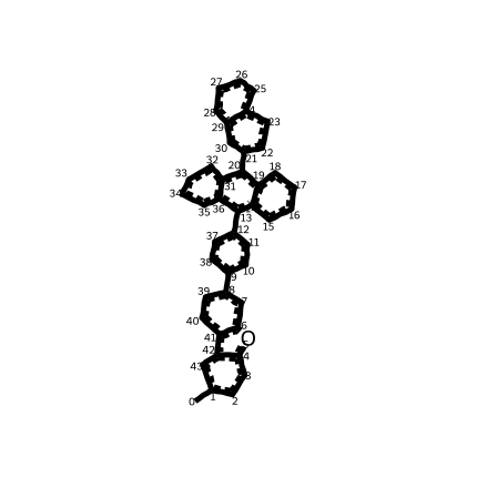 Cc1ccc2oc3cc(-c4ccc(-c5c6ccccc6c(-c6ccc7ccccc7c6)c6ccccc56)cc4)ccc3c2c1